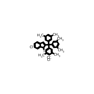 Cc1cc(C)cc(C(C2=Cc3ccccc3[CH]2[Ti+3])(c2cc(C)cc(C)c2)c2cc(C)cc(C)c2)c1.[Cl-].[Cl-].[Cl-]